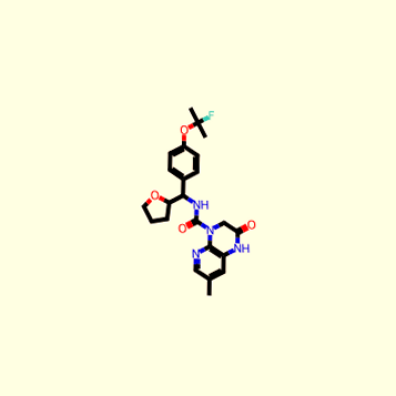 Cc1cnc2c(c1)NC(=O)CN2C(=O)NC(c1ccc(OC(C)(C)F)cc1)C1CCCO1